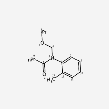 CCCC(=O)N(COC(C)C)c1ccccc1C